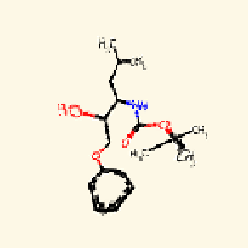 CC(C)CC(NC(=O)OC(C)(C)C)C(O)COc1ccccc1